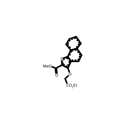 CCOC(=O)COc1c(C(=O)OC)sc2c1ccc1ccccc12